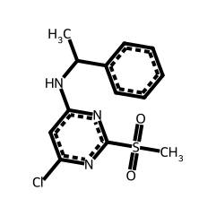 CC(Nc1cc(Cl)nc(S(C)(=O)=O)n1)c1ccccc1